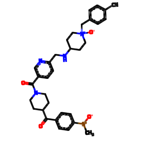 C[S+]([O-])c1ccc(C(=O)C2CCN(C(=O)c3ccc(CNC4CC[N+]([O-])(Cc5ccc(C#N)cc5)CC4)nc3)CC2)cc1